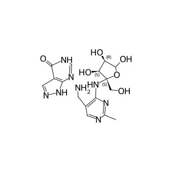 Cc1ncc(CN)c(N[C@@]2(CO)OC(O)[C@H](O)[C@@H]2O)n1.O=c1[nH]cnc2[nH]ncc12